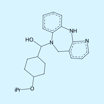 CC(C)OC1CCC(C(O)N2Cc3cccnc3Nc3ccccc32)CC1